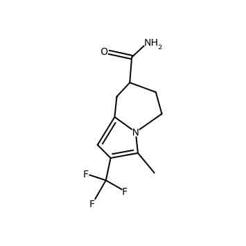 Cc1c(C(F)(F)F)cc2n1CCC(C(N)=O)C2